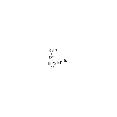 O.[Br-].[Br-].[Br-].[Ce+3]